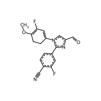 COC1=C(F)C=C(n2cc(C=O)nc2-c2ccc(C#N)c(F)c2)CC1